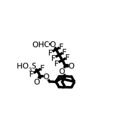 O=COC(F)(F)C(F)(F)C(F)(F)C(=O)OC12CC3CC(CC(COC(=O)C(F)(F)S(=O)(=O)O)(C3)C1)C2